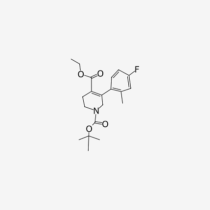 CCOC(=O)C1=C(c2ccc(F)cc2C)CN(C(=O)OC(C)(C)C)CC1